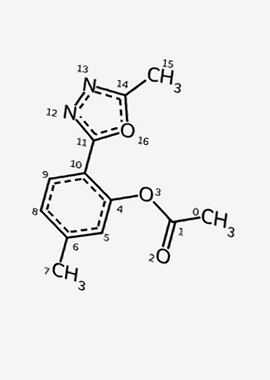 CC(=O)Oc1cc(C)ccc1-c1nnc(C)o1